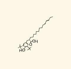 CCCCCCCCCCCCCCC(Cc1cc(C(C)(C)C)c(O)c(C(C)(C)C)c1)C(=O)O